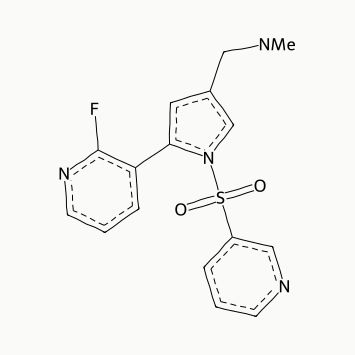 CNCc1cc(-c2cccnc2F)n(S(=O)(=O)c2cccnc2)c1